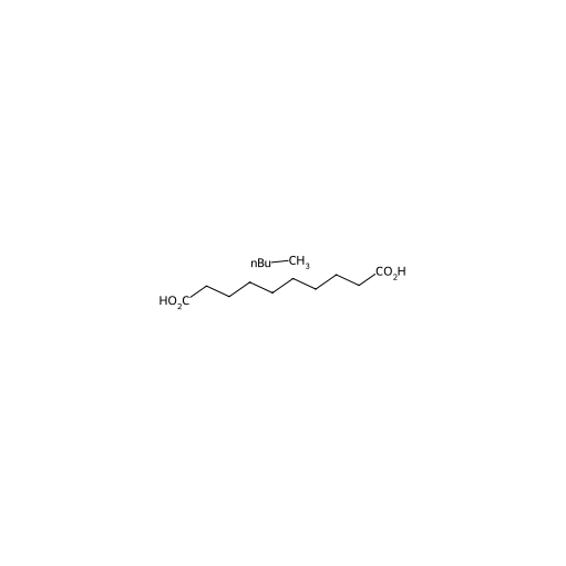 CCCCC.O=C(O)CCCCCCCCC(=O)O